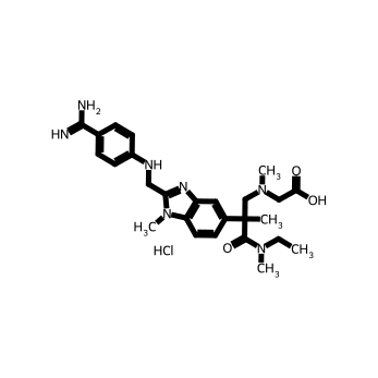 CCN(C)C(=O)C(C)(CN(C)CC(=O)O)c1ccc2c(c1)nc(CNc1ccc(C(=N)N)cc1)n2C.Cl